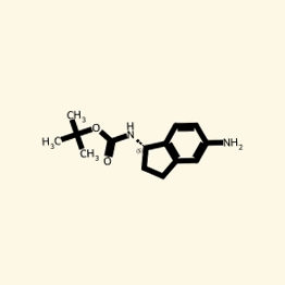 CC(C)(C)OC(=O)N[C@H]1CCc2cc(N)ccc21